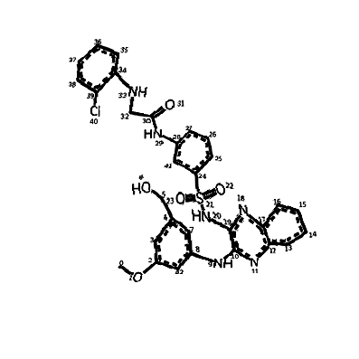 COc1cc(CO)cc(Nc2nc3ccccc3nc2NS(=O)(=O)c2cccc(NC(=O)CNc3ccccc3Cl)c2)c1